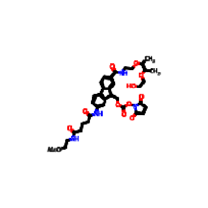 COCCNC(=O)CCCC(=O)Nc1ccc2c(c1)C(COC(=O)ON1C(=O)CCC1=O)c1cc(C(=O)NCCOC(C)C(C)OCCO)ccc1-2